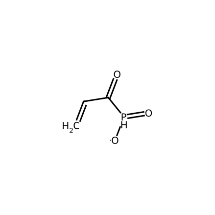 C=CC(=O)[PH]([O])=O